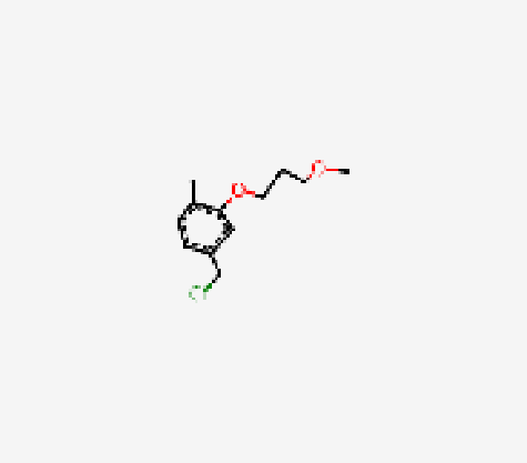 COCCCOc1cc(CCl)ccc1C